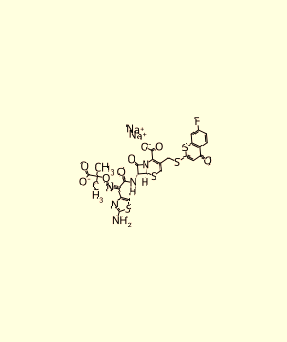 CC(C)(O/N=C(\C(=O)N[C@@H]1C(=O)N2C(C(=O)[O-])=C(CSc3cc(=O)c4ccc(F)cc4s3)CS[C@@H]12)c1csc(N)n1)C(=O)[O-].[Na+].[Na+]